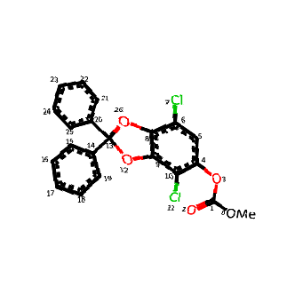 COC(=O)Oc1cc(Cl)c2c(c1Cl)OC(c1ccccc1)(c1ccccc1)O2